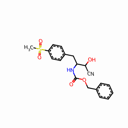 CS(=O)(=O)c1ccc(CC(NC(=O)OCc2ccccc2)C(O)C#N)cc1